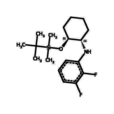 CC(C)(C)[Si](C)(C)O[C@H]1CCCC[C@@H]1Nc1cccc(F)c1F